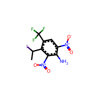 CC(I)c1c(C(F)(F)F)cc([N+](=O)[O-])c(N)c1[N+](=O)[O-]